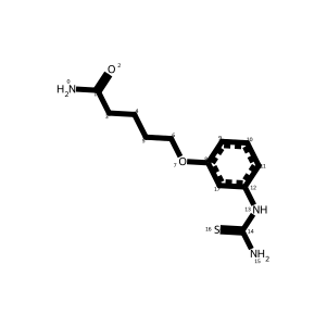 NC(=O)CCCCOc1cccc(NC(N)=S)c1